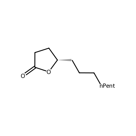 CCCCCCCC[C@H]1CCC(=O)O1